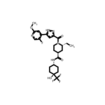 CC[C@@H]1C[C@@H](C(=O)N[C@H]2CC[C@@](O)(C(F)(F)F)CC2)CCN1C(=O)c1cc(-c2cc(OC)ncc2F)[nH]n1